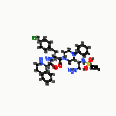 CS(=O)(=O)N(CCN)c1ccccc1N1CCN(C(=O)[C@@H](Cc2ccc(Cl)cc2)NC(=O)C2N[CH]Cc3ccccc32)CC1